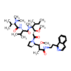 CC[C@H](C)C([C@@H](CC(=O)N1CCC[C@H]1[C@H](OC)[C@@H](C)C(=O)NCCc1nccc2ccccc12)OC)N(C)C(=O)[C@@H](NC(=O)[C@H](C(C)C)N(C)C)C(C)C